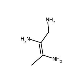 C/C(N)=C(\N)CN